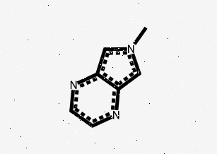 Cn1cc2nccnc2c1